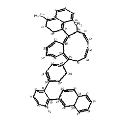 CC1=c2ccccc2=C(/C2=c3\cccc\c3=C(/C3=CC=C(c4cccnc4C4=CC5C=CC=CC5C=C4)CC3)C/C=C\C=C/C2C)CC1